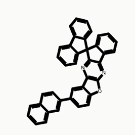 c1ccc2c(c1)-c1ccccc1C21c2ccccc2-c2nc3oc4ccc(-c5ccc6ccccc6c5)cc4c3nc21